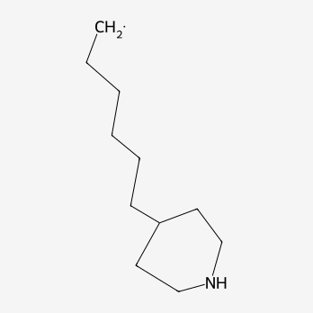 [CH2]CCCCCC1CCNCC1